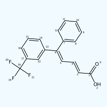 O=C(O)/C=C/C=C(\c1ccccc1)c1cccc(C(F)(F)F)c1